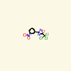 O=[N+]([O-])c1cccc(-c2noc(C(Cl)(Cl)Cl)n2)c1